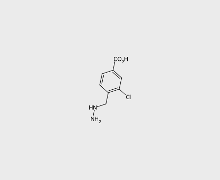 NNCc1ccc(C(=O)O)cc1Cl